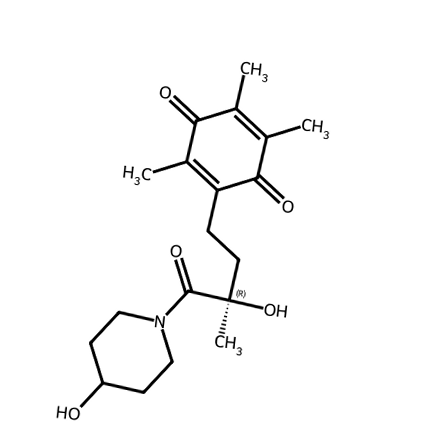 CC1=C(C)C(=O)C(CC[C@@](C)(O)C(=O)N2CCC(O)CC2)=C(C)C1=O